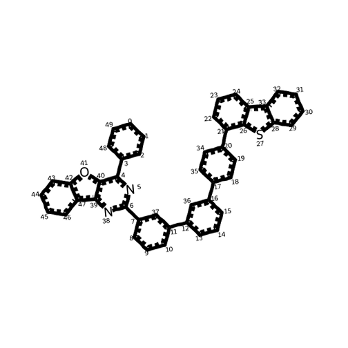 c1ccc(-c2nc(-c3cccc(-c4cccc(-c5ccc(-c6cccc7c6sc6ccccc67)cc5)c4)c3)nc3c2oc2ccccc23)cc1